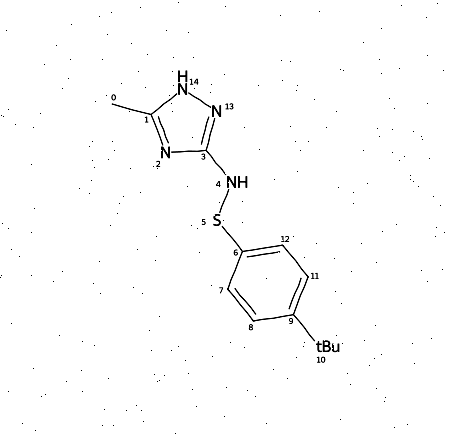 Cc1nc(NSc2ccc(C(C)(C)C)cc2)n[nH]1